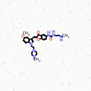 CNCCNC(=O)Nc1ccc2c(c1)C(=O)/C(=C/c1cn(CCN3CCN(C)CC3)c3ccc(OC)cc13)O2